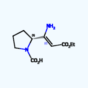 CCOC(=O)/C=C(\N)[C@H]1CCCN1C(=O)O